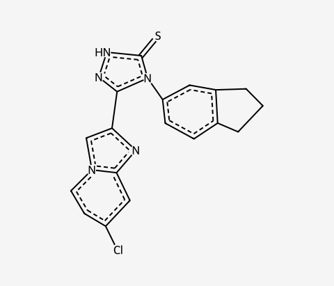 S=c1[nH]nc(-c2cn3ccc(Cl)cc3n2)n1-c1ccc2c(c1)CCC2